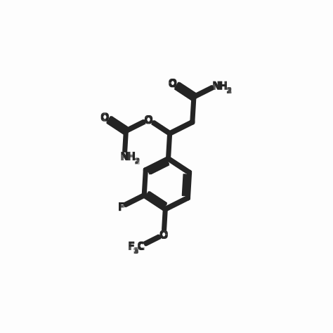 NC(=O)CC(OC(N)=O)c1ccc(OC(F)(F)F)c(F)c1